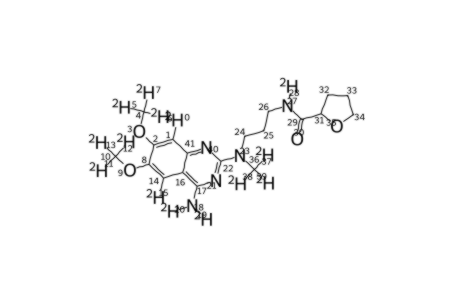 [2H]c1c(OC([2H])([2H])[2H])c(OC([2H])([2H])[2H])c([2H])c2c(N([2H])[2H])nc(N(CCCN([2H])C(=O)C3CCCO3)C([2H])([2H])[2H])nc12